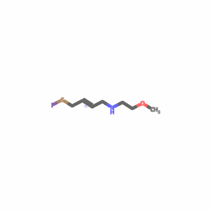 COCCNC/C=C/CSI